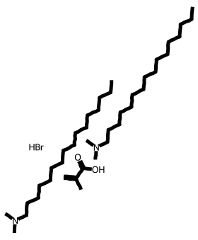 Br.C=C(C)C(=O)O.CCCCCCCCCCCCCCCCN(C)C.CCCCCCCCCCCCCCCCN(C)C